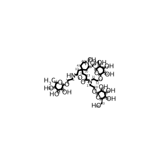 C[C@@H]1O[C@@H](OCCNC(=O)CC2(CCC(=O)N(CCO[C@H]3O[C@H](CO)[C@@H](O)[C@H](O)[C@@H]3O)CCO[C@H]3O[C@H](CO)[C@@H](O)[C@H](O)[C@@H]3O)CCN(C)CC2)[C@@H](O)[C@H](O)[C@@H]1O